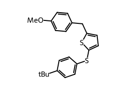 COc1ccc(Cc2ccc(Sc3ccc(C(C)(C)C)cc3)s2)cc1